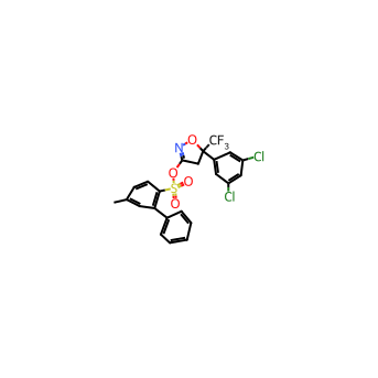 Cc1ccc(S(=O)(=O)OC2=NOC(c3cc(Cl)cc(Cl)c3)(C(F)(F)F)C2)c(-c2ccccc2)c1